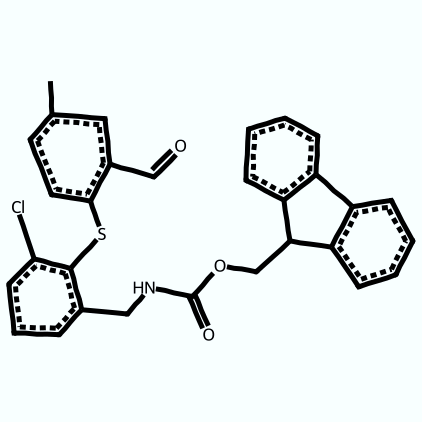 Cc1ccc(Sc2c(Cl)cccc2CNC(=O)OCC2c3ccccc3-c3ccccc32)c(C=O)c1